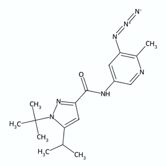 Cc1ncc(NC(=O)c2cc(C(C)C)n(C(C)(C)C)n2)cc1N=[N+]=[N-]